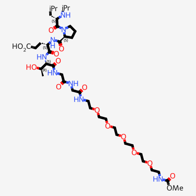 COC(=O)NCCOCCOCCOCCOCCOCCNC(=O)CNC(=O)CNC(=O)[C@@H](NC(=O)[C@H](CCC(=O)O)NC(=O)[C@@H]1CCCN1C(=O)[C@H](CC(C)C)NC(C)C)[C@@H](C)O